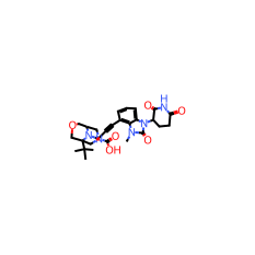 Cn1c(=O)n(C2CCC(=O)NC2=O)c2cccc(C#CCN3C4COCC3(C(C)(C)C)CN(C(=O)O)C4)c21